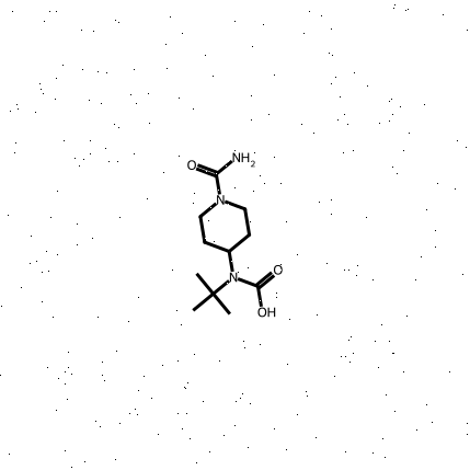 CC(C)(C)N(C(=O)O)C1CCN(C(N)=O)CC1